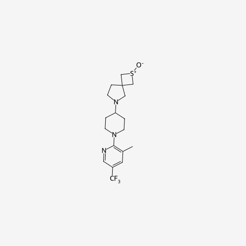 Cc1cc(C(F)(F)F)cnc1N1CCC(N2CCC3(C2)C[S+]([O-])C3)CC1